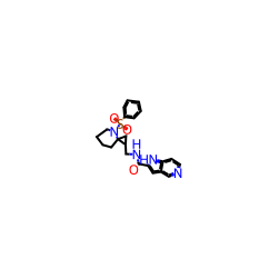 O=C(NCC1CC12CCCCN2S(=O)(=O)c1ccccc1)c1cc2cnccc2[nH]1